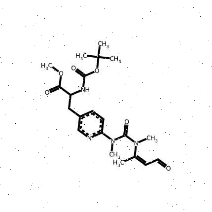 COC(=O)C(Cc1ccc(N(C)C(=O)N(C)/C(C)=C\C=O)nc1)NC(=O)OC(C)(C)C